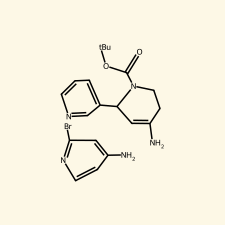 CC(C)(C)OC(=O)N1CCC(N)=CC1c1cccnc1.Nc1ccnc(Br)c1